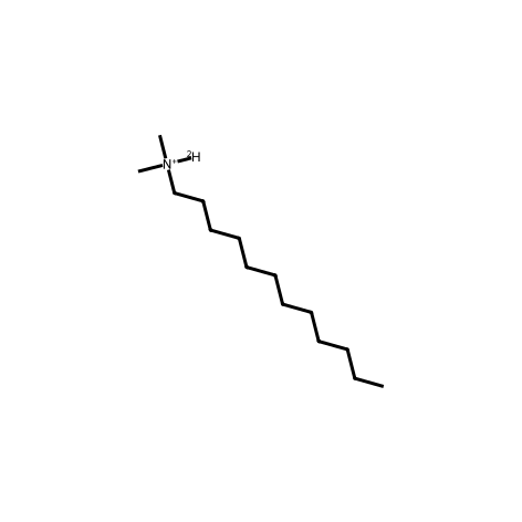 [2H][N+](C)(C)CCCCCCCCCCCC